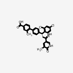 Cc1cc(C(=O)O)ccc1-c1ccc([C@@H](C/C(=N\O)c2c[nH]c(=O)c(C)c2)c2ccc(Cl)cc2Cl)cc1